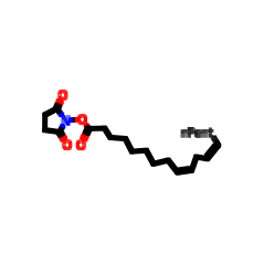 CCCCC/C=C\C/C=C\CCCCCCCC(=O)ON1C(=O)CCC1=O